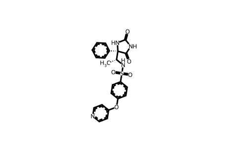 C[C@@H](NS(=O)(=O)c1ccc(Oc2ccncc2)cc1)[C@@]1(c2ccccc2)NC(=O)NC1=O